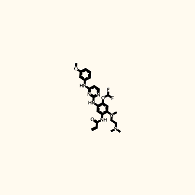 C=CC(=O)Nc1cc(Nc2nccc(Nc3cccc(OC)c3)n2)c(OC(F)F)cc1N(C)CCN(C)C